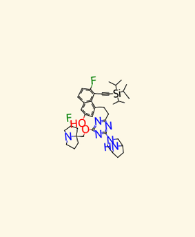 CC(C)[Si](C#Cc1c(F)ccc2cc(O)cc(CCc3nc(OC[C@@]45CCCN4C[C@H](F)C5)nc(N4CC5CCC(C4)N5)n3)c12)(C(C)C)C(C)C